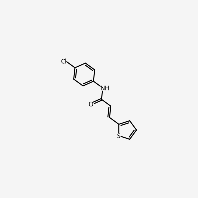 O=C(C=Cc1cccs1)Nc1ccc(Cl)cc1